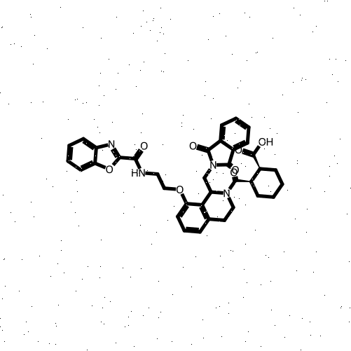 O=C(NCCOc1cccc2c1C(CN1C(=O)c3ccccc3C1=O)N(C(=O)[C@@H]1CCCC[C@@H]1C(=O)O)CC2)c1nc2ccccc2o1